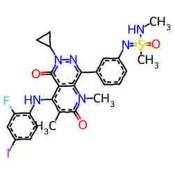 CNS(C)(=O)=Nc1cccc(-c2nn(C3CC3)c(=O)c3c(Nc4ccc(I)cc4F)c(C)c(=O)n(C)c23)c1